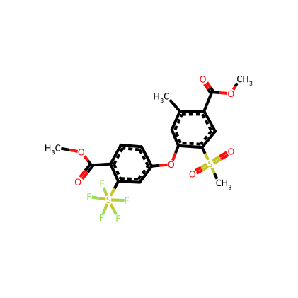 COC(=O)c1cc(S(C)(=O)=O)c(Oc2ccc(C(=O)OC)c(S(F)(F)(F)(F)F)c2)cc1C